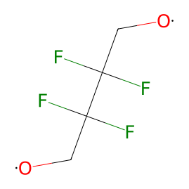 [O]CC(F)(F)C(F)(F)C[O]